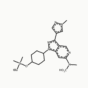 CN(C(=O)O)c1cc2c(cn1)c(-c1cnn(C)c1)nn2C1CCC(O[Si](C)(C)C(C)(C)C)CC1